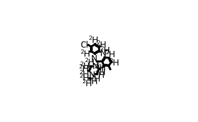 [2H]c1c([2H])c2c(c([2H])c1C)C(N1C([2H])([2H])C([2H])([2H])N(C([2H])([2H])[2H])C([2H])([2H])C1([2H])[2H])=Nc1c([2H])c(Cl)c([2H])c([2H])c1N2[2H]